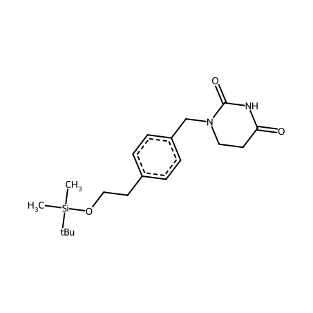 CC(C)(C)[Si](C)(C)OCCc1ccc(CN2CCC(=O)NC2=O)cc1